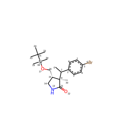 CC(c1ccc(Br)cc1)[C@@]1(C)C(=O)NC[C@@H]1CO[Si](C)(C)C(C)(C)C